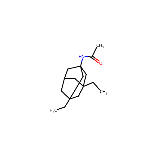 CCC12CC3CC(CC)(C1)CC(NC(C)=O)(C3)C2